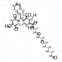 C=c1ccc2c(c1/C=C\C(C)=O)Oc1cc(O)c(Cl)cc1C=2c1ccc(C(=O)NCCOCCOCCCCCCCl)cc1C(=O)O